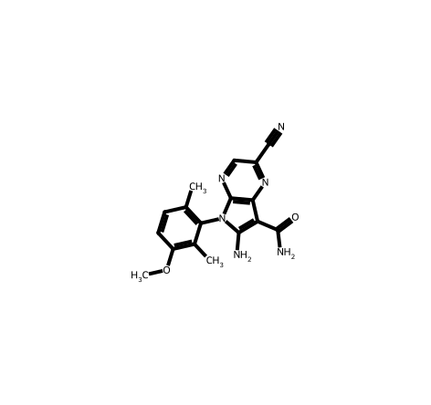 COc1ccc(C)c(-n2c(N)c(C(N)=O)c3nc(C#N)cnc32)c1C